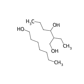 CCCC(O)C(CC)CO.CCCCCCCO